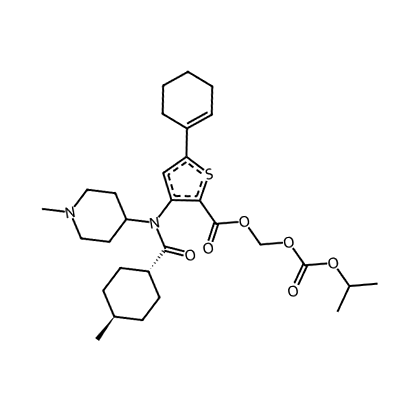 CC(C)OC(=O)OCOC(=O)c1sc(C2=CCCCC2)cc1N(C(=O)[C@H]1CC[C@H](C)CC1)C1CCN(C)CC1